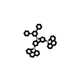 c1ccc(-c2cc(-c3ccccc3)cc(-n3c4ccc(-n5c6cccc7ccc8cccc5c8c76)cc4c4cc(-n5c6cccc7ccc8cccc5c8c76)ccc43)c2)cc1